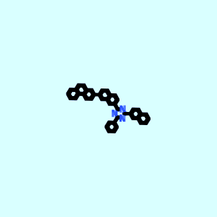 c1ccc(-c2nc(-c3ccc4ccccc4c3)nc(-c3ccc4ccc(-c5ccc6c(ccc7ccccc76)c5)cc4c3)n2)cc1